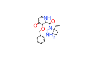 C=CC1(N(CN)C(=O)c2[nH]ccc(=O)c2OCc2ccccc2)CCC1